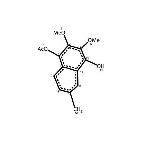 COc1c(OC)c(OC(C)=O)c2ccc(C)cc2c1O